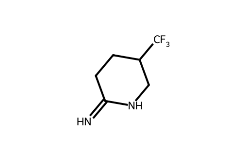 N=C1CCC(C(F)(F)F)CN1